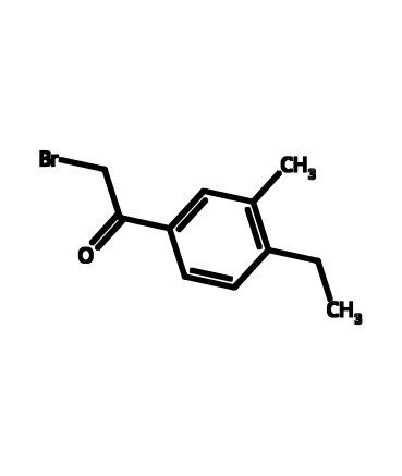 CCc1ccc(C(=O)CBr)cc1C